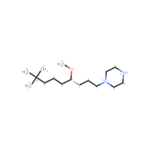 CO[C@H](CCCN1CCNCC1)CCCC(C)(C)C